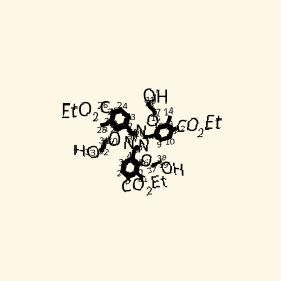 CCOC(=O)c1ccc(-c2nc(-c3ccc(C(=O)OCC)c(C)c3OCCO)nc(-c3ccc(C(=O)OCC)c(C)c3OCCO)n2)c(OCCO)c1C